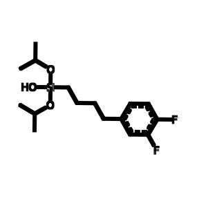 CC(C)O[Si](O)(CCCCc1ccc(F)c(F)c1)OC(C)C